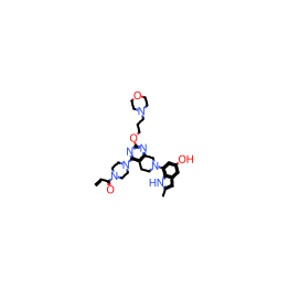 C=CC(=O)N1CCN(c2nc(OCCCN3CCOCC3)nc3c2CCN(c2cc(O)cc4cc(C)[nH]c24)C3)CC1